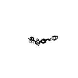 CC(O)c1cccc(-c2cnn3cc(-c4ccc(CCN5CCOCC5)cc4)cnc23)c1